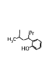 CC(I)CC(c1ccccc1O)C(C)C